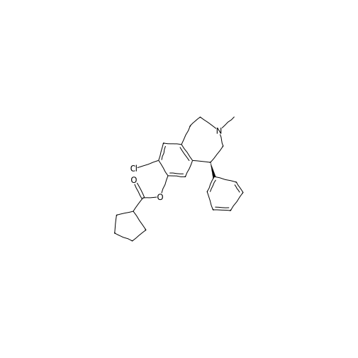 CN1CCc2cc(Cl)c(OC(=O)C3CCCC3)cc2[C@H](c2ccccc2)C1